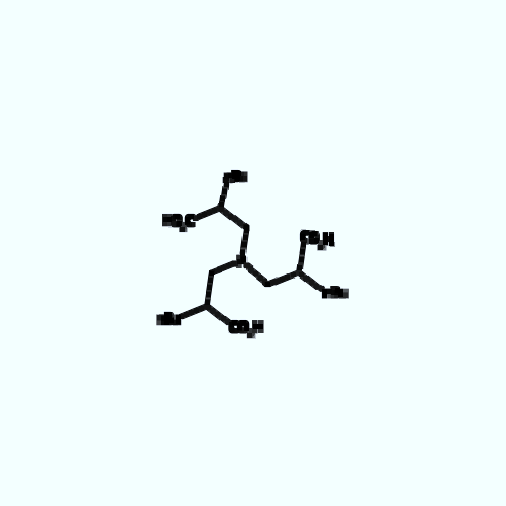 CCCCC(CP(CC(CCCC)C(=O)O)CC(CCCC)C(=O)O)C(=O)O